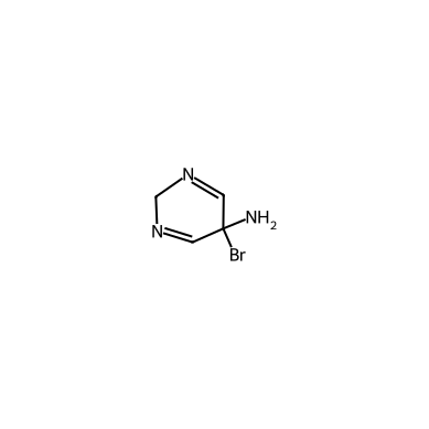 NC1(Br)C=NCN=C1